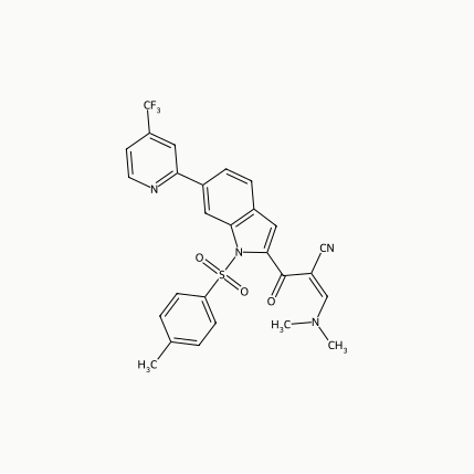 Cc1ccc(S(=O)(=O)n2c(C(=O)/C(C#N)=C\N(C)C)cc3ccc(-c4cc(C(F)(F)F)ccn4)cc32)cc1